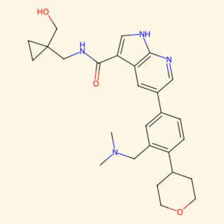 CN(C)Cc1cc(-c2cnc3[nH]cc(C(=O)NCC4(CO)CC4)c3c2)ccc1C1CCOCC1